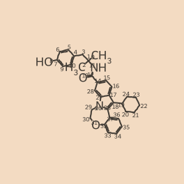 CC(C)(Cc1ccc(O)cc1)NC(=O)c1ccc2c(C3CCCCC3)c3n(c2c1)CCOc1ccccc1-3